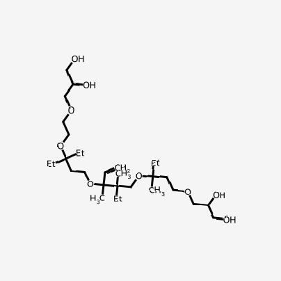 C=CC(C)(OCCC(CC)(CC)OCCOCC(O)CO)C(C)(CC)COC(C)(CC)CCOCC(O)CO